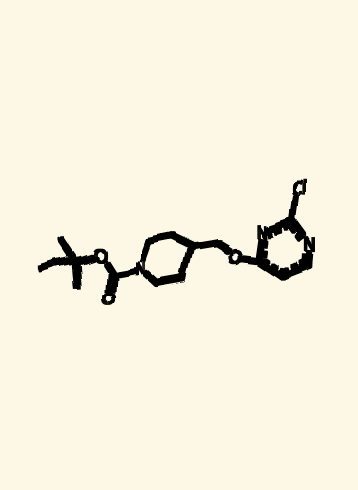 CC(C)(C)OC(=O)N1CCC(COc2ccnc(Cl)n2)CC1